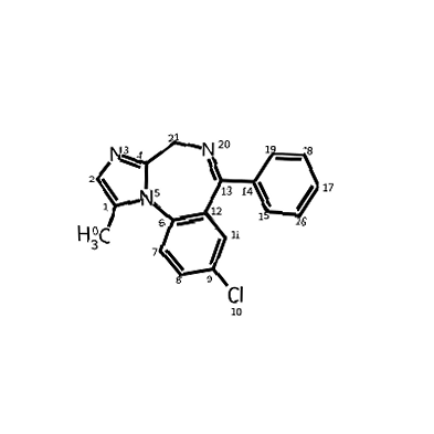 Cc1cnc2n1-c1ccc(Cl)cc1C(c1ccccc1)=NC2